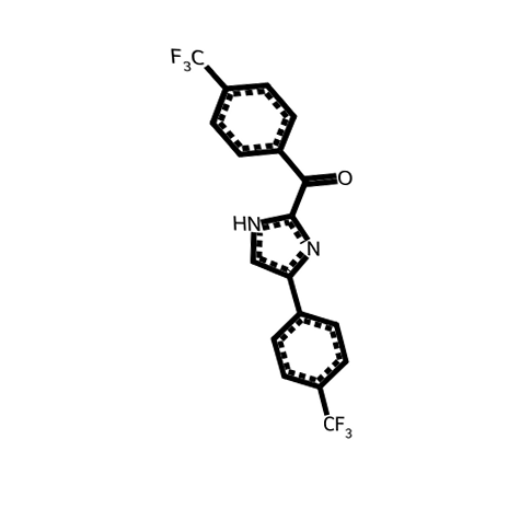 O=C(c1ccc(C(F)(F)F)cc1)c1nc(-c2ccc(C(F)(F)F)cc2)c[nH]1